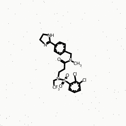 CN(Cc1ccc(C2=NCCN2)cc1)C(=O)CCN(CC(F)(F)F)S(=O)(=O)c1cccc(Cl)c1Cl